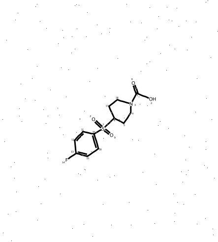 O=C(O)N1CCC(S(=O)(=O)c2ccc(F)cc2)CC1